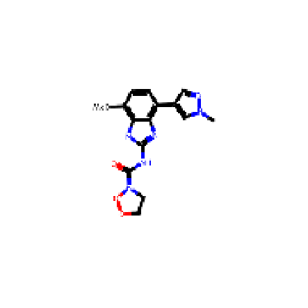 COc1ccc(-c2cnn(C)c2)c2nc(NC(=O)N3CCOO3)[nH]c12